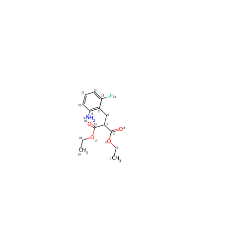 CCOC(=O)C(Cc1c(N)cccc1F)C(=O)OCC